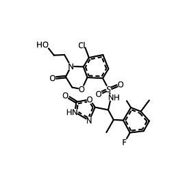 Cc1ccc(F)c(C(C)C(NS(=O)(=O)c2ccc(Cl)c3c2OCC(=O)N3CCO)c2n[nH]c(=O)o2)c1C